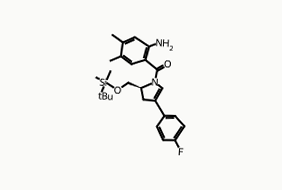 Cc1cc(N)c(C(=O)N2C=C(c3ccc(F)cc3)C[C@H]2CO[Si](C)(C)C(C)(C)C)cc1C